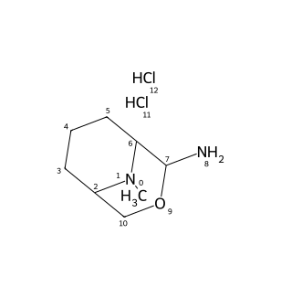 CN1C2CCCC1C(N)OC2.Cl.Cl